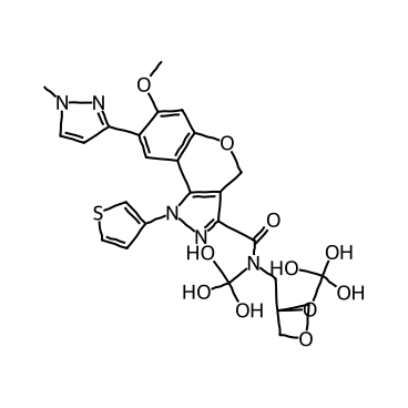 COc1cc2c(cc1-c1ccn(C)n1)-c1c(c(C(=O)N(CC3(OC(O)(O)O)COC3)C(O)(O)O)nn1-c1ccsc1)CO2